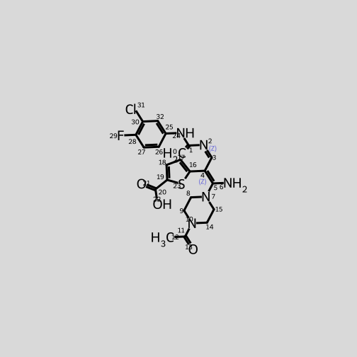 C=C(/N=C\C(=C(/N)N1CCN(C(C)=O)CC1)c1ccc(C(=O)O)s1)Nc1ccc(F)c(Cl)c1